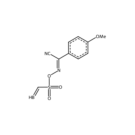 B=CS(=O)(=O)ON=C(C#N)c1ccc(OC)cc1